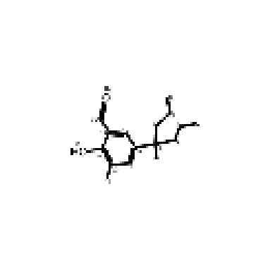 CCCC(C)(CCC)c1cc(C)c(O)c(C=O)c1